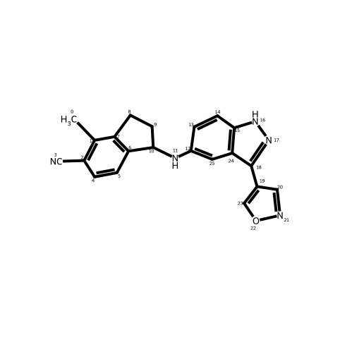 Cc1c(C#N)ccc2c1CCC2Nc1ccc2[nH]nc(-c3cnoc3)c2c1